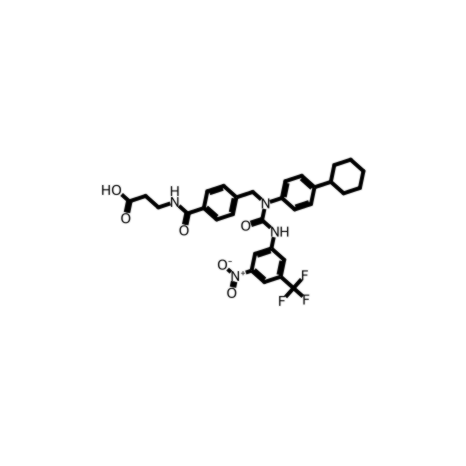 O=C(O)CCNC(=O)c1ccc(CN(C(=O)Nc2cc([N+](=O)[O-])cc(C(F)(F)F)c2)c2ccc(C3CCCCC3)cc2)cc1